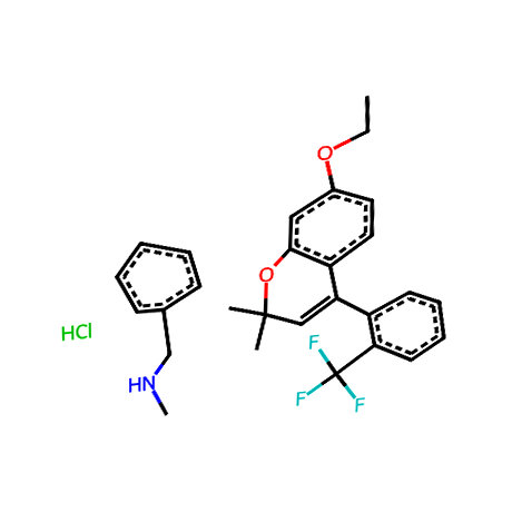 CCOc1ccc2c(c1)OC(C)(C)C=C2c1ccccc1C(F)(F)F.CNCc1ccccc1.Cl